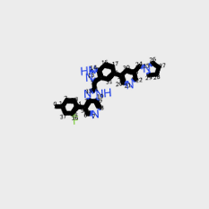 CC1C=CC(c2cncc3[nH]c(-c4n[nH]c5ccc(-c6cncc(CN7CCCC7)c6)cc45)nc23)=C(F)C1